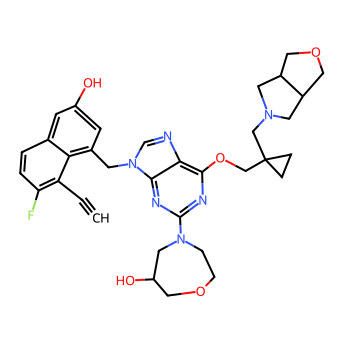 C#Cc1c(F)ccc2cc(O)cc(Cn3cnc4c(OCC5(CN6CC7COCC7C6)CC5)nc(N5CCOCC(O)C5)nc43)c12